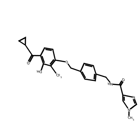 Cn1cnc(C(=O)NCc2ccc(COc3ccc(C(=O)C4CC4)c(O)c3C(F)(F)F)cc2)c1